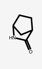 O=C1NC2CCC1C2